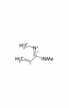 C=C/C(=N\C)NC